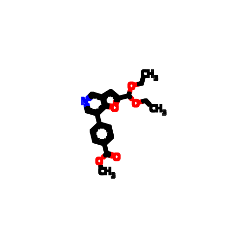 CCOC(OCC)c1cc2cncc(-c3ccc(C(=O)OC)cc3)c2o1